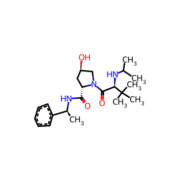 CC(C)N[C@H](C(=O)N1C[C@H](O)C[C@H]1C(=O)N[C@@H](C)c1ccccc1)C(C)(C)C